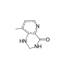 Cc1ccnc2c1NCNC2=O